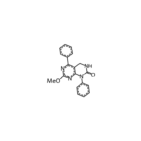 COc1nc(-c2ccccc2)c2c(n1)N(c1ccccc1)C(=O)NC2